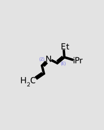 C=C/C=N\C=C(/CC)C(C)C